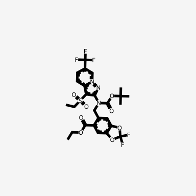 CCOC(=O)c1cc2c(cc1CN(C(=O)OC(C)(C)C)c1nn3cc(C(F)(F)F)ccc3c1S(=O)(=O)CC)OC(F)(F)O2